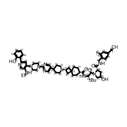 C#Cc1ccc(CNC(=O)[C@@H]2C[C@@H](O)CN2C(=O)[C@@H](NC(=O)[C@H]2CCC3(CC2)C[C@H](N2CCC(c4cnc(N5CCN(c6cc(-c7ccccc7O)nnc6NCC)CC5)nc4)CC2)C3)C(C)(C)C)c(F)c1